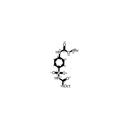 CCCCCCCCC(=O)NS(=O)(=O)c1ccc(NC(=O)OC(C)(C)C)cc1